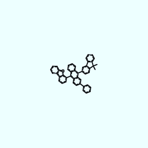 CC1(C)c2ccccc2-c2cc(-c3c4ccccc4c(-c4cccc5c4oc4ccccc45)c4ccc(-c5ccccc5)cc34)ccc21